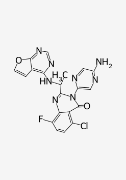 CC(Nc1ncnc2occc12)c1nc2c(F)ccc(Cl)c2c(=O)n1-c1cnc(N)cn1